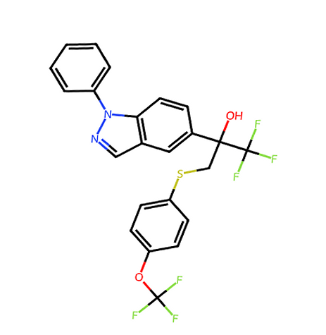 OC(CSc1ccc(OC(F)(F)F)cc1)(c1ccc2c(cnn2-c2ccccc2)c1)C(F)(F)F